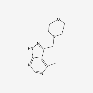 Cc1ncnc2[nH]nc(CN3CCOCC3)c12